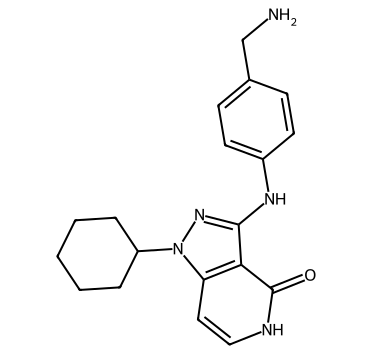 NCc1ccc(Nc2nn(C3CCCCC3)c3cc[nH]c(=O)c23)cc1